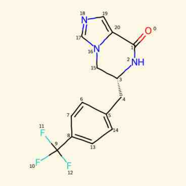 O=C1N[C@H](Cc2ccc(C(F)(F)F)cc2)Cn2cncc21